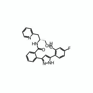 O=C(N[C@@H](CO)Cc1ccccn1)c1ccccc1-c1cc(-c2ccc(F)cc2O)[nH]n1